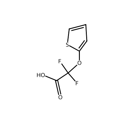 O=C(O)C(F)(F)Oc1cccs1